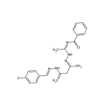 C=C(C/C(C)=N/N/C(C)=N\C(=O)c1ccccc1)N/N=C/c1ccc(F)cc1